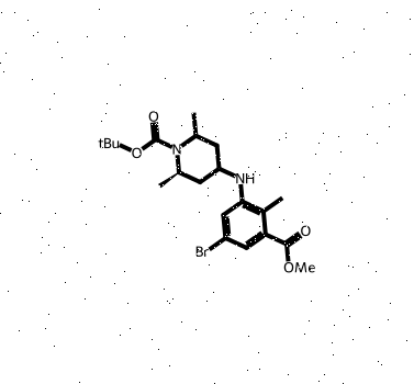 COC(=O)c1cc(Br)cc(NC2CC(C)N(C(=O)OC(C)(C)C)[C@H](C)C2)c1C